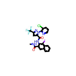 CNC(=O)c1cc2ccccc2c(I)c1NC(=O)c1cc(C(F)(F)F)nn1-c1ncccc1Cl